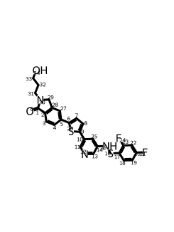 O=C1c2ccc(-c3ccc(-c4cncc(NSc5ccc(F)cc5F)c4)s3)cc2CN1CCCO